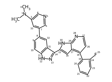 CN(C)c1cncc(-c2ccc3[nH]nc(-c4cc5c(-c6ccccc6F)ccnc5[nH]4)c3c2)c1